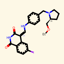 CCOC[C@@H]1CCCN1Cc1ccc(N/C=C2\C(=O)NC(=O)c3ccc(I)cc32)cc1